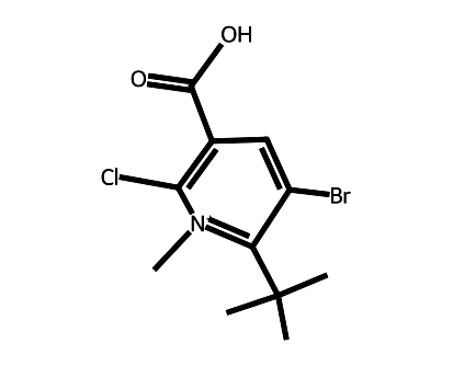 C[n+]1c(Cl)c(C(=O)O)cc(Br)c1C(C)(C)C